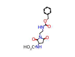 O=C(O)NC1CC(=O)N(CCNC(=O)OCc2ccccc2)C1=O